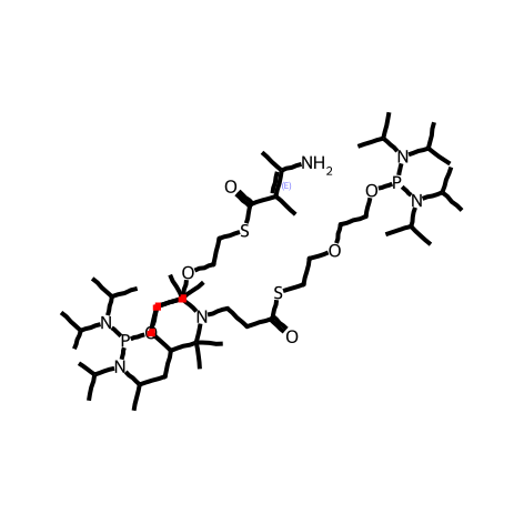 C/C(N)=C(/C)C(=O)SCCOCCOP(N(C(C)C)C(C)C)N(C(C)C)C(C)CC1CCC(C)(C)N(CCC(=O)SCCOCCOP(N(C(C)C)C(C)C)N(C(C)C)C(C)C)C1(C)C